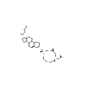 CCCCC(=O)CN1CCC(=O)OCN(C(=O)O[C@H]2CC[C@@]3(C)C(=CCC4C3CC[C@@]3(C)C4CC[C@@H]3C(C)CCCC(C)C)C2)CCCCCC1=O